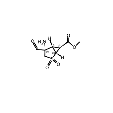 COC(=O)[C@@H]1[C@@H]2[C@H]1S(=O)(=O)C[C@@]2(N)C=O